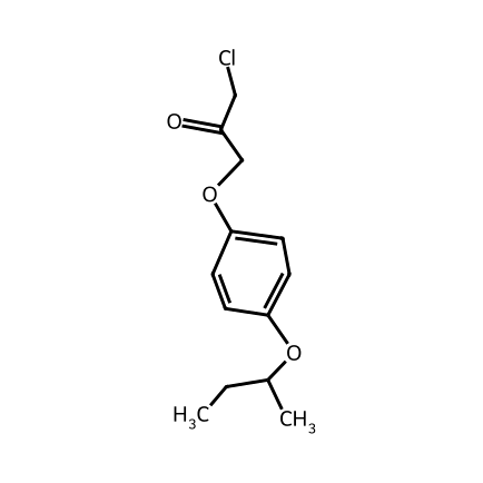 CCC(C)Oc1ccc(OCC(=O)CCl)cc1